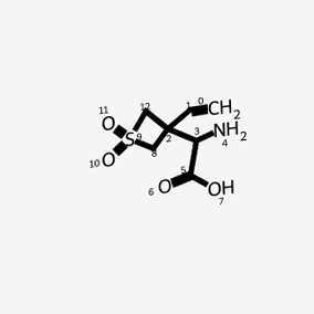 C=CC1(C(N)C(=O)O)CS(=O)(=O)C1